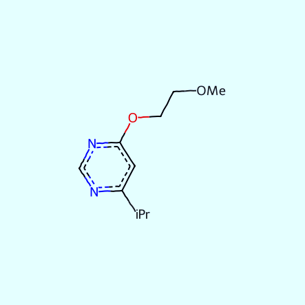 COCCOc1cc(C(C)C)ncn1